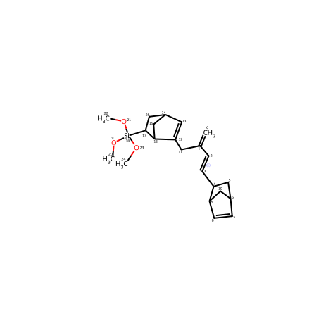 C=C(/C=C/C1CC2C=CC1C2)CC1=CC2CC1C([Si](OC)(OC)OC)C2